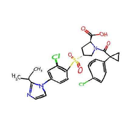 CC(C)c1nccn1-c1ccc(S(=O)(=O)[C@@H]2C[C@@H](C(=O)O)N(C(=O)C3(c4ccc(Cl)cc4)CC3)C2)c(Cl)c1